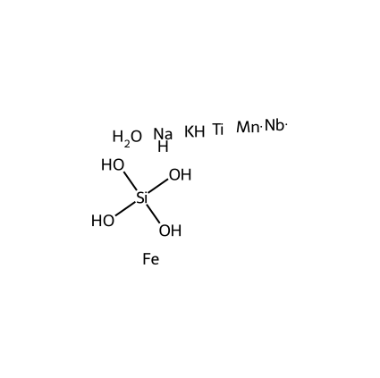 O.O[Si](O)(O)O.[Fe].[KH].[Mn].[NaH].[Nb].[Ti]